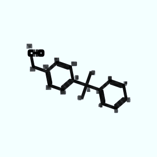 CC(C)(c1ccccc1)c1ccc(CC=O)cc1